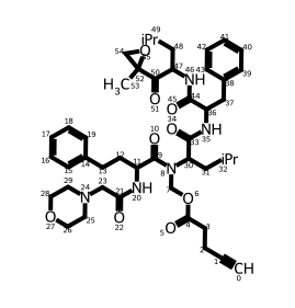 C#CCCC(=O)OCN(C(=O)C(CCc1ccccc1)NC(=O)CN1CCOCC1)C(CC(C)C)C(=O)NC(Cc1ccccc1)C(=O)NC(CC(C)C)C(=O)C1(C)CO1